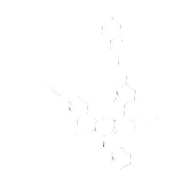 C[Si](C)(C)C#Cc1ccc(NC(=O)[C@H](Cc2ccccc2)NC(=O)[C@@H](NC(=O)O)c2ccc(OCCOC3CCCCO3)cc2)c(Cl)c1